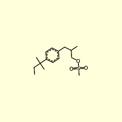 CCC(C)(C)c1ccc(CC(C)COS(C)(=O)=O)cc1